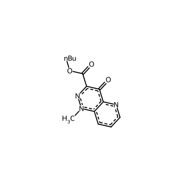 CCCCOC(=O)c1nn(C)c2cccnc2c1=O